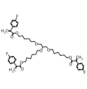 C=C(C(=O)OCCCCCCOCC(COCCCCCCOC(=O)C(=C)c1ccc(F)cc1)OCCCCCCOC(=O)C(=C)c1ccc(F)cc1)c1ccc(F)cc1